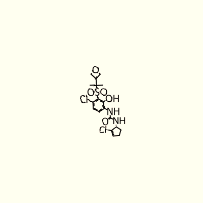 CC(C)(C1COC1)S(=O)(=O)c1c(Cl)ccc(NC(=O)N[C@@H]2CCC=C2Cl)c1O